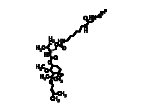 COC1C(OC(=O)N[C@@H](COC(=O)NCCCCCCNC(=O)CNSSF)C(C)C)CCC2(CO2)C1C(C)(C)OCC=C(C)C